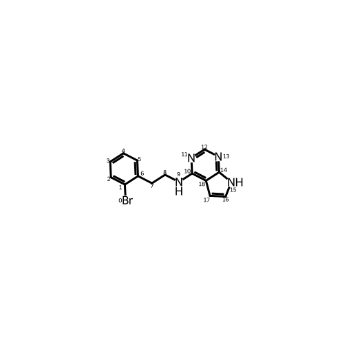 Brc1ccccc1CCNc1ncnc2[nH]ccc12